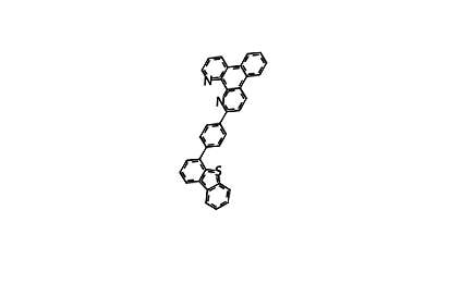 c1ccc2c(c1)sc1c(-c3ccc(-c4ccc5c6ccccc6c6cccnc6c5n4)cc3)cccc12